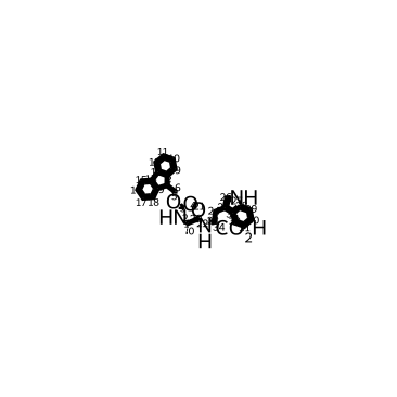 C[C@H](NC(=O)OCC1c2ccccc2-c2ccccc21)C(=O)N[C@@H](Cc1c[nH]c2ccccc12)C(=O)O